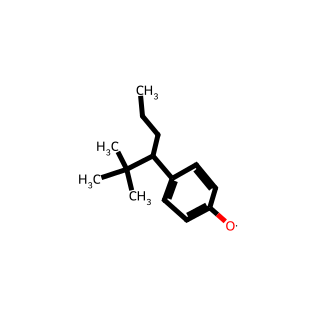 CCCC(c1ccc([O])cc1)C(C)(C)C